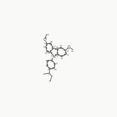 CCC(C)c1ccc(-n2c3ccc(OC)cc3c3cc(OC)ccc32)cc1